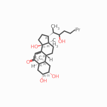 CC(C)CCC(O)C(C)[C@H]1CC[C@@]2(O)C3=CC(=O)[C@@H]4C[C@@H](O)[C@@H](O)C[C@]4(C)[C@H]3CC[C@]12C